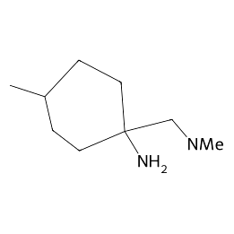 CNCC1(N)CCC(C)CC1